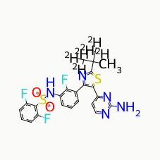 [2H]C([2H])([2H])C(C)(c1nc(-c2cccc(NS(=O)(=O)c3c(F)cccc3F)c2F)c(-c2ccnc(N)n2)s1)C([2H])([2H])[2H]